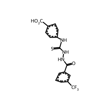 O=C(O)c1ccc(NC(=S)NNC(=O)c2cccc(C(F)(F)F)c2)cc1